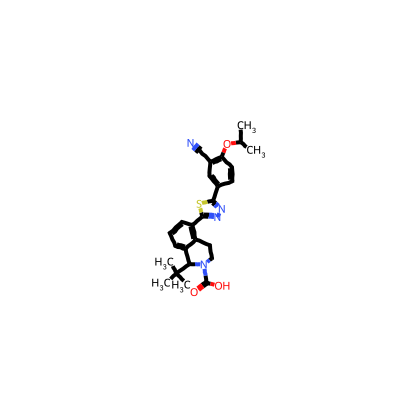 CC(C)Oc1ccc(-c2nnc(-c3cccc4c3CCN(C(=O)O)C4C(C)(C)C)s2)cc1C#N